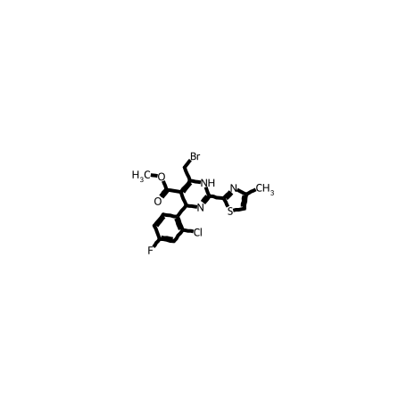 COC(=O)C1=C(CBr)NC(c2nc(C)cs2)=NC1c1ccc(F)cc1Cl